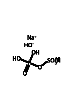 O=P(O)(O)OS(=O)(=O)O.[Al].[Na+].[OH-]